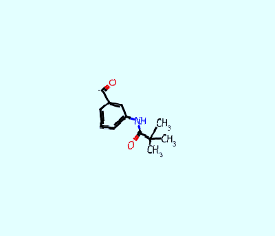 CC(C)(C)C(=O)Nc1cccc([C]=O)c1